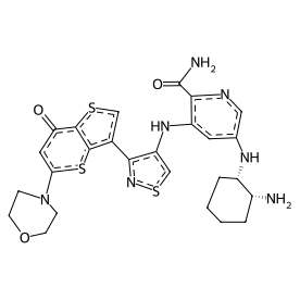 NC(=O)c1ncc(N[C@H]2CCCC[C@H]2N)cc1Nc1csnc1-c1csc2c(=O)cc(N3CCOCC3)sc12